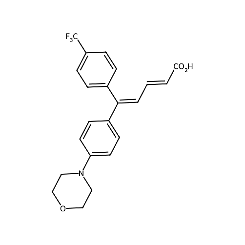 O=C(O)C=CC=C(c1ccc(N2CCOCC2)cc1)c1ccc(C(F)(F)F)cc1